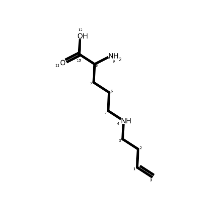 C=CCCNCCCC(N)C(=O)O